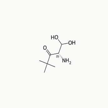 CC(C)(C)C(=O)[C@@H](N)C(O)O